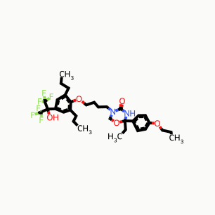 CCCOc1ccc(C2(CC)NC(=O)N(CCCCOc3c(CCC)cc(C(O)(C(F)(F)F)C(F)(F)F)cc3CCC)CO2)cc1